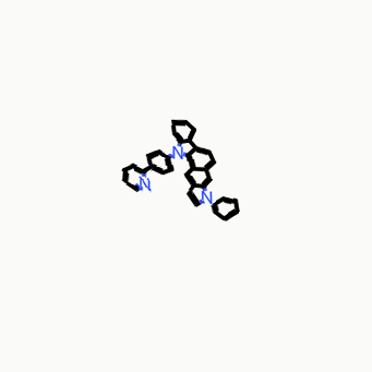 c1ccc(-n2ccc3cc4c(ccc5c6ccccc6n(-c6ccc(-c7ccccn7)cc6)c45)cc32)cc1